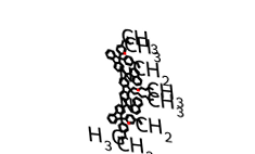 C=Cc1ccc(C2(c3ccc(CC(C)C)cc3)c3ccccc3-c3ccc(N(c4ccc5c(c4)C(CCCCCC)(CCCCCC)c4cc(N(c6ccc7c(c6)C(c6ccc(C=C)cc6)(c6ccc(CC(C)C)cc6)c6ccccc6-7)c6cccc7ccccc67)ccc4-5)c4cccc5ccccc45)cc32)cc1